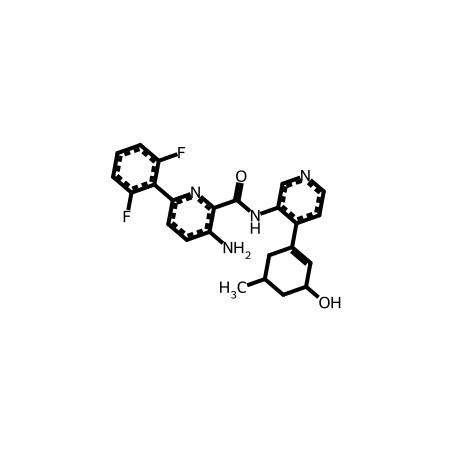 CC1CC(c2ccncc2NC(=O)c2nc(-c3c(F)cccc3F)ccc2N)=CC(O)C1